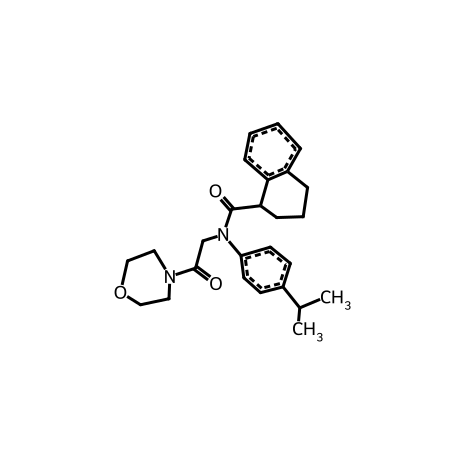 CC(C)c1ccc(N(CC(=O)N2CCOCC2)C(=O)C2CCCc3ccccc32)cc1